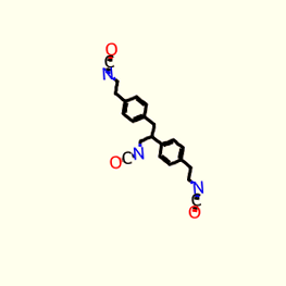 O=C=NCCc1ccc(CC(CN=C=O)c2ccc(CCN=C=O)cc2)cc1